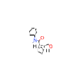 CN(C(=O)[C@H]1[C@@H](C=O)[C@H]2C=C[C@@H]1C2)c1ccccc1